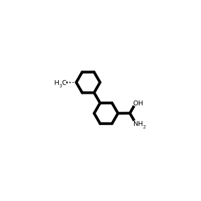 C[C@@H]1CCCC(C2CCCC(C(N)O)C2)C1